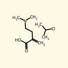 C=C(CCN(C)C)C(=O)O.CC(C)Cl